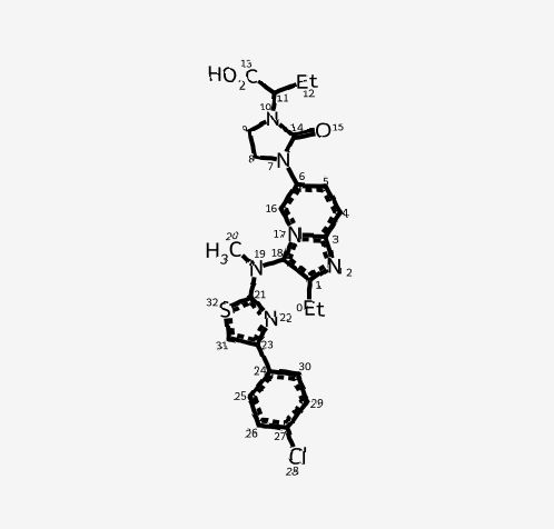 CCc1nc2ccc(N3CCN(C(CC)C(=O)O)C3=O)cn2c1N(C)c1nc(-c2ccc(Cl)cc2)cs1